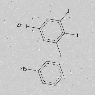 Ic1cc(I)c(I)c(I)c1.Sc1ccccc1.[Zn]